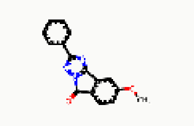 COc1ccc2c(c1)-c1nc(-c3ccccc3)nn1C2=O